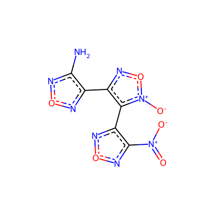 Nc1nonc1-c1no[n+]([O-])c1-c1nonc1[N+](=O)[O-]